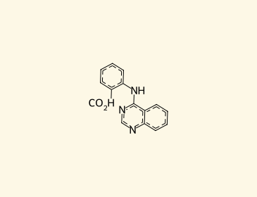 O=C(O)c1ccccc1Nc1ncnc2ccccc12